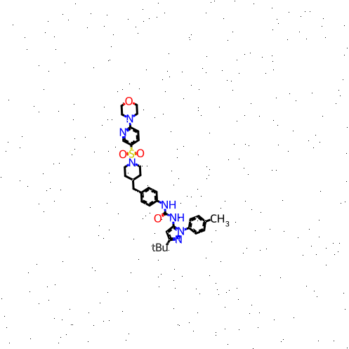 Cc1ccc(-n2nc(C(C)(C)C)cc2NC(=O)Nc2ccc(CC3CCN(S(=O)(=O)c4ccc(N5CCOCC5)nc4)CC3)cc2)cc1